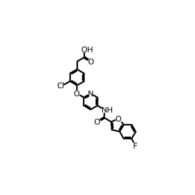 O=C(O)Cc1ccc(Oc2ccc(NC(=O)c3cc4cc(F)ccc4o3)cn2)c(Cl)c1